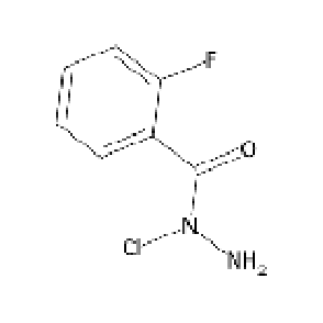 NN(Cl)C(=O)c1ccccc1F